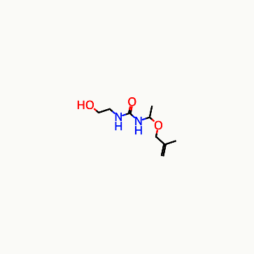 C=C(C)COC(C)NC(=O)NCCO